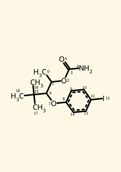 CC(OC(N)=O)C(Oc1ccc(I)cc1)C(C)(C)C